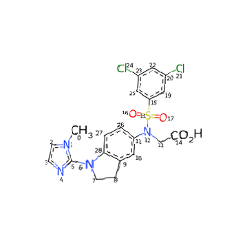 Cn1ccnc1N1CCc2cc(N(CC(=O)O)S(=O)(=O)c3cc(Cl)cc(Cl)c3)ccc21